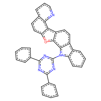 c1ccc(-c2nc(-c3ccccc3)nc(-n3c4ccccc4c4ccc5c(oc6ccc7cccnc7c65)c43)n2)cc1